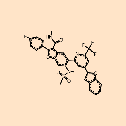 CNC(=O)c1c(-c2ccc(F)cc2)oc2cc(N(C)S(C)(=O)=O)c(-c3cc(-c4cc5ccccc5o4)cc(C(F)(F)F)n3)cc12